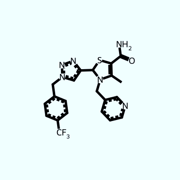 CC1=C(C(N)=O)SC(c2cn(Cc3ccc(C(F)(F)F)cc3)nn2)N1Cc1cccnc1